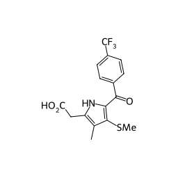 CSc1c(C(=O)c2ccc(C(F)(F)F)cc2)[nH]c(CC(=O)O)c1C